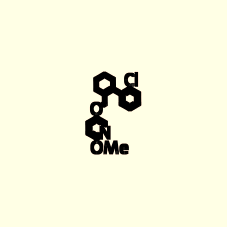 COc1ccc(OCC2=C(c3ccccc3Cl)CCCC2)cn1